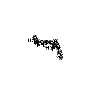 Cc1ncsc1-c1ccc(C(C)NC(=O)[C@@H]2C[C@@H](O)CN2C(=O)C(N2CCC(N3CCN(c4ccc(-c5cc(-c6ccccc6O)nnc5N)cc4)CC3)CC2)C(C)(C)C)cc1